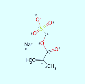 C=C(C)C(=O)OCS(=O)(=O)[O-].[Na+]